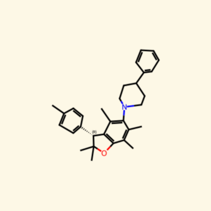 Cc1ccc([C@@H]2c3c(C)c(N4CCC(c5ccccc5)CC4)c(C)c(C)c3OC2(C)C)cc1